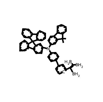 BC(B)=C(B)c1cccc(-c2ccc(N(c3ccc4c(c3)C(C)(C)c3ccccc3-4)c3ccc4c(c3)C3(c5ccccc5-c5ccccc53)c3ccccc3-4)cc2)c1